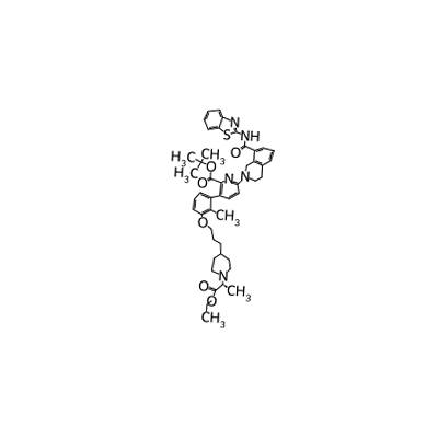 CCOC(=O)[C@H](C)N1CCC(CCCOc2cccc(-c3ccc(N4CCc5cccc(C(=O)Nc6nc7ccccc7s6)c5C4)nc3C(=O)OC(C)(C)C)c2C)CC1